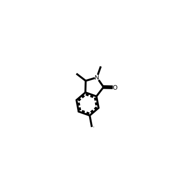 [CH2]c1ccc2c(c1)C(=O)N(C)C2C